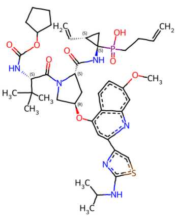 C=CCCP(=O)(O)[C@@]1(NC(=O)[C@@H]2C[C@@H](Oc3cc(-c4csc(NC(C)C)n4)nc4cc(OC)ccc34)CN2C(=O)[C@@H](NC(=O)OC2CCCC2)C(C)(C)C)C[C@H]1C=C